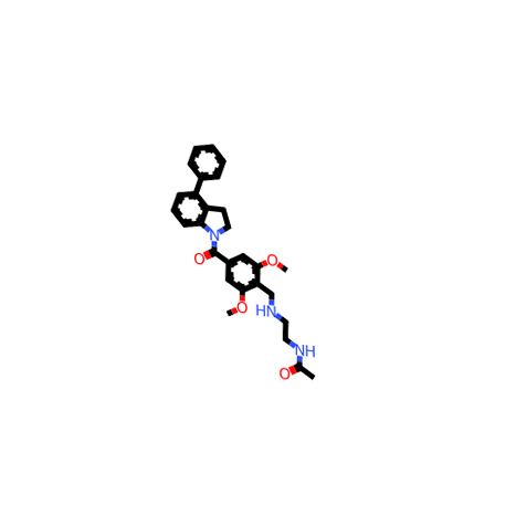 COc1cc(C(=O)N2CCc3c(-c4ccccc4)cccc32)cc(OC)c1CNCCNC(C)=O